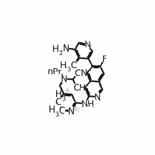 CCCN(C/C(C)=C/C(=N\C)Nc1cc2cc(-c3cncc(N)c3C)c(F)cc2cn1)C(C)C#N